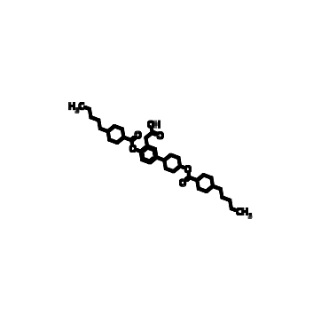 CCCCCC1CCC(C(=O)Oc2ccc(C3CCC(OC(=O)C4CCC(CCCCC)CC4)CC3)cc2CC(=O)O)CC1